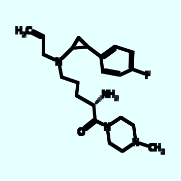 C=CCN(CCC[C@H](N)C(=O)N1CCN(C)CC1)C1CC1c1ccc(F)cc1